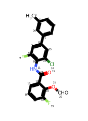 Cc1cccc(-c2cc(F)c(NC(=O)c3cccc(F)c3OC=O)c(Cl)c2)c1